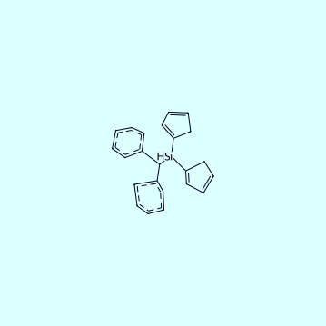 C1=CCC([SiH](C2=CC=CC2)C(c2ccccc2)c2ccccc2)=C1